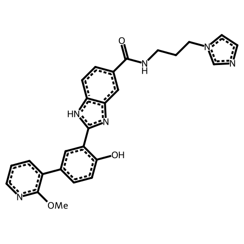 COc1ncccc1-c1ccc(O)c(-c2nc3cc(C(=O)NCCCn4ccnc4)ccc3[nH]2)c1